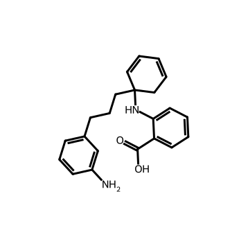 Nc1cccc(CCCC2(Nc3ccccc3C(=O)O)C=CC=CC2)c1